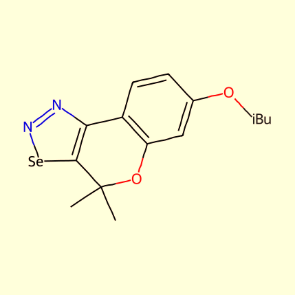 CCC(C)Oc1ccc2c(c1)OC(C)(C)c1[se]nnc1-2